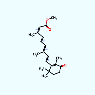 COC(=O)\C=C(C)/C=C/C=C(C)/C=C/C1=C(C)C(=O)CCC1(C)C